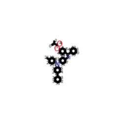 C=C(C)C(=O)Oc1ccc(/C(=C\c2ccc(N(c3ccc(C)cc3)c3ccc(-c4ccccc4)cc3)cc2)c2ccccc2)cc1